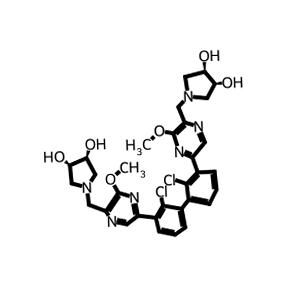 COc1nc(-c2cccc(-c3cccc(-c4cnc(CN5C[C@@H](O)[C@@H](O)C5)c(OC)n4)c3Cl)c2Cl)cnc1CN1C[C@@H](O)[C@@H](O)C1